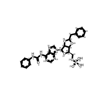 O=C(Nc1ccccc1)Nc1ncnc2c1ncn2[C@@H]1O[C@H](COP(=O)(O)O)C2OC(Cc3ccccc3)OC21